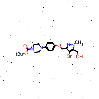 Cn1nc(COc2ccc(N3CCN(C(=O)OC(C)(C)C)CC3)cc2)c(Br)c1CO